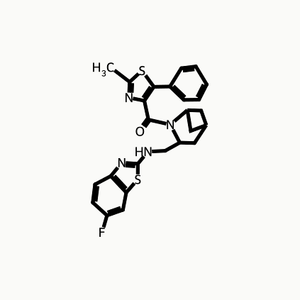 Cc1nc(C(=O)N2C(CNc3nc4ccc(F)cc4s3)CC3CC2C3)c(-c2ccccc2)s1